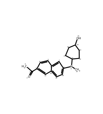 CC(=O)c1ccc2cc(N(C)C3CCC(O)CC3)ccc2c1